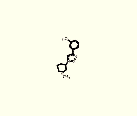 C[C@@H]1CCCC(n2cc(-c3cccc(O)c3)nn2)C1